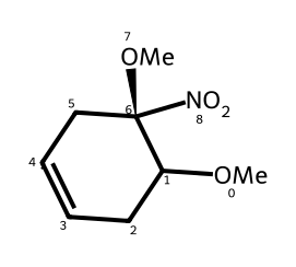 COC1CC=[C]C[C@]1(OC)[N+](=O)[O-]